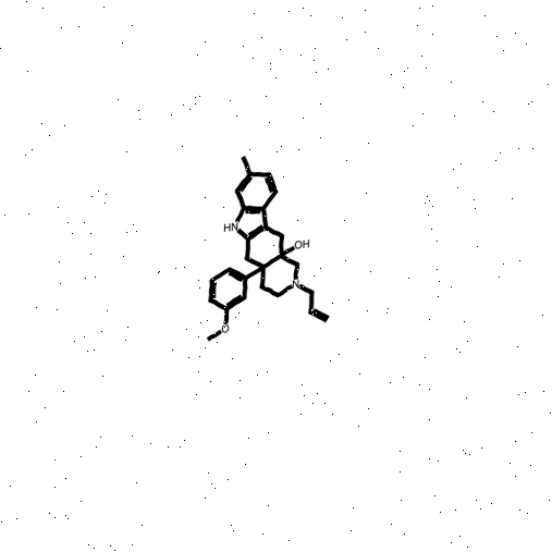 C=CCN1CCC2(c3cccc(OC)c3)Cc3[nH]c4cc(C)ccc4c3CC2(O)C1